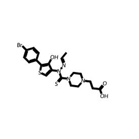 C/C=N/N(C(=S)N1CCN(CCC(=O)O)CC1)c1csc(-c2ccc(Br)cc2)c1O